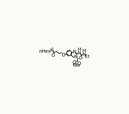 CCCCCCN(C)C(=O)CCCOc1ccc2c(c1)CN(CC(=O)OC(C)(C)C)C(NC(=O)NCC)=N2